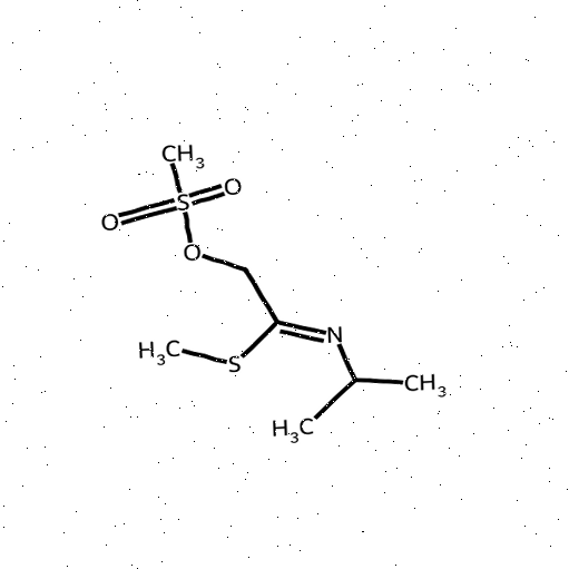 CS/C(COS(C)(=O)=O)=N\C(C)C